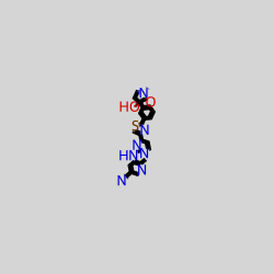 Cc1ncc(C#N)cc1Nc1nccc(-c2csc(-c3cccc([C@]4(O)CCN(C)C4=O)c3)n2)n1